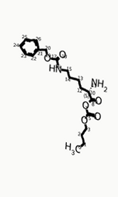 CCCCOC(=O)OC(=O)[C@@H](N)CCCCNC(=O)OCc1ccccc1